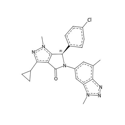 Cc1cc(N2C(=O)c3c(C4CC4)nn(C)c3[C@H]2c2ccc(Cl)cc2)cc2c1nnn2C